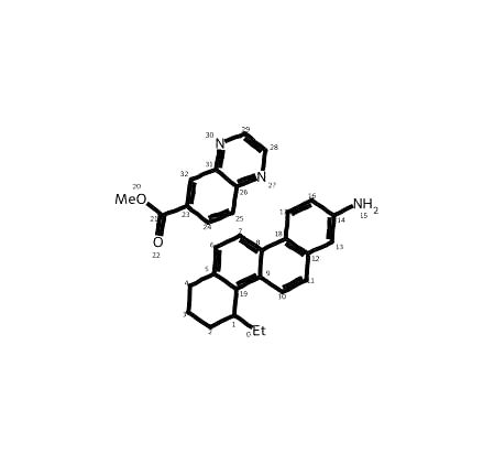 CCC1CCCc2ccc3c(ccc4cc(N)ccc43)c21.COC(=O)c1ccc2nccnc2c1